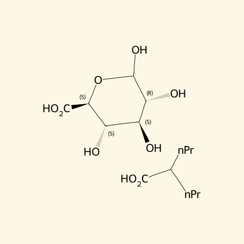 CCCC(CCC)C(=O)O.O=C(O)[C@H]1OC(O)[C@H](O)[C@@H](O)[C@@H]1O